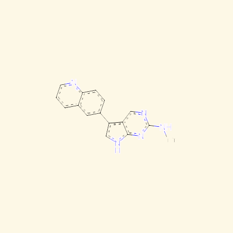 CC(C)Nc1ncc2c(-c3ccc4ncccc4c3)c[nH]c2n1